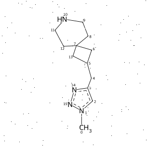 Cn1cc(CC2CC3(CCNCC3)C2)nn1